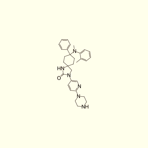 Cc1ccccc1N(C)C1(c2ccccc2)CCC2(CC1)CN(c1ccc(N3CCNCC3)nc1)C(=O)N2